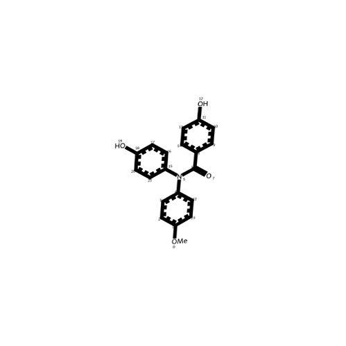 COc1ccc(N(C(=O)c2ccc(O)cc2)c2ccc(O)cc2)cc1